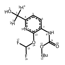 [2H]C([2H])(O)c1ccc(NC(=O)OC(C)(C)C)c(OC(F)F)n1